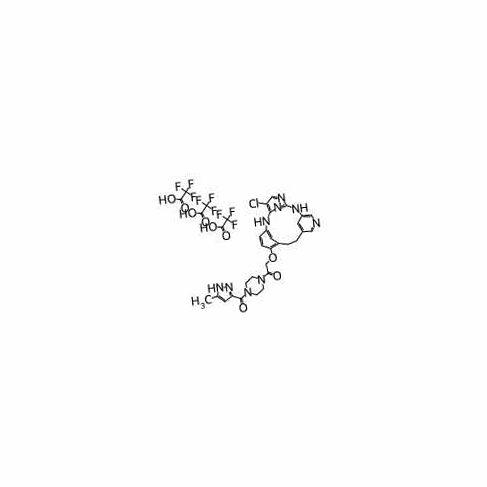 Cc1cc(C(=O)N2CCN(C(=O)COc3ccc4cc3CCc3cncc(c3)Nc3ncc(Cl)c(n3)N4)CC2)n[nH]1.O=C(O)C(F)(F)F.O=C(O)C(F)(F)F.O=C(O)C(F)(F)F